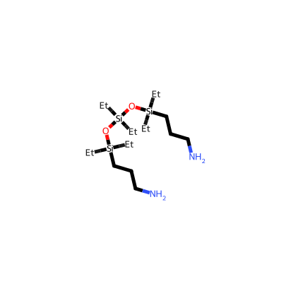 CC[Si](CC)(CCCN)O[Si](CC)(CC)O[Si](CC)(CC)CCCN